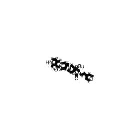 CCCC[C@H]1CN(CCC2CCOCC2)C(=O)OC12CCN(C1(C)CCN(C(=O)C3C(C)CCNC3C)CC1)CC2